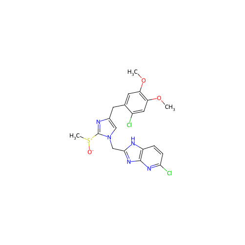 COc1cc(Cl)c(Cc2cn(Cc3nc4nc(Cl)ccc4[nH]3)c([S+](C)[O-])n2)cc1OC